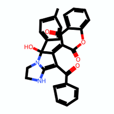 Cc1ccc(C2(O)/C(=C3/C(=O)Oc4ccccc4C3=O)C(C(=O)c3ccccc3)=C3NCCN32)cc1